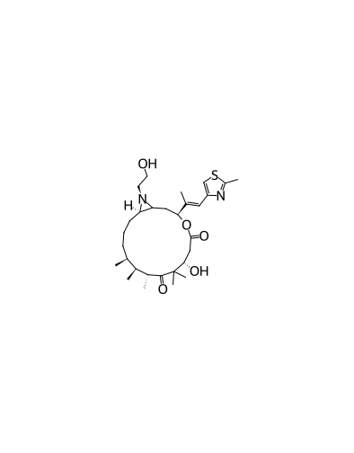 C/C(=C\c1csc(C)n1)[C@@H]1CC2[C@@H](CCC[C@H](C)[C@H](C)[C@@H](C)C(=O)C(C)(C)[C@@H](O)CC(=O)O1)[N@@]2CCO